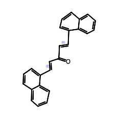 O=C(/C=C/c1cccc2ccccc12)/C=C/c1cccc2ccccc12